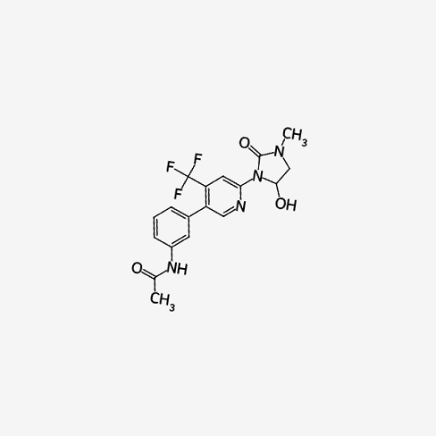 CC(=O)Nc1cccc(-c2cnc(N3C(=O)N(C)CC3O)cc2C(F)(F)F)c1